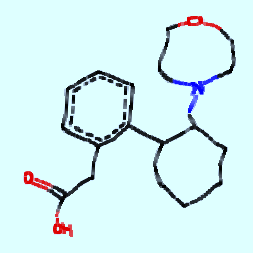 O=C(O)Cc1ccccc1C1CCCCC1N1CCOCC1